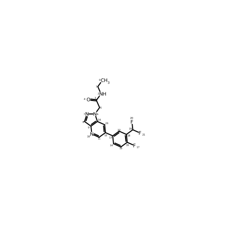 CCNC(=O)Cn1ncc2ncc(-c3ccc(F)c(C(F)F)c3)cc21